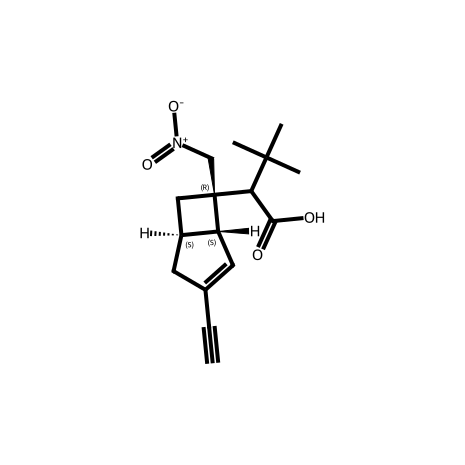 C#CC1=C[C@@H]2[C@@H](C1)C[C@]2(C[N+](=O)[O-])C(C(=O)O)C(C)(C)C